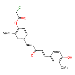 COc1cc(/C=C/C(=O)/C=C/c2ccc(OC(=O)CCl)c(OC)c2)ccc1O